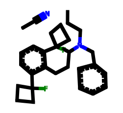 CC#N.CCCN(Cc1ccccc1)C(C)CCc1c(C2(F)CCC2)cccc1C1(F)CCC1